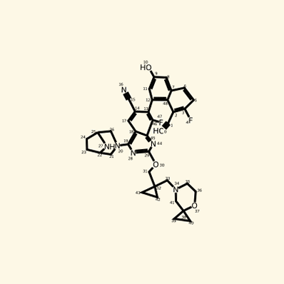 C#Cc1c(F)ccc2cc(O)cc(-c3c(C#N)cc4c(N5CC6CCC(C5)N6)nc(OCC5(CN6CCOC7(CC7)C6)CC5)nc4c3F)c12